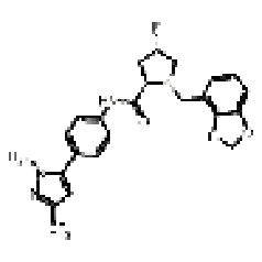 Cn1nc(C(F)(F)F)cc1-c1ccc(NC(=O)[C@H]2C[C@H](F)CN2Cc2cccc3c2OCO3)cc1